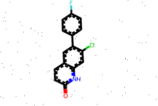 O=c1[c]cc2cc(-c3ccc(F)cc3)c(Cl)cc2[nH]1